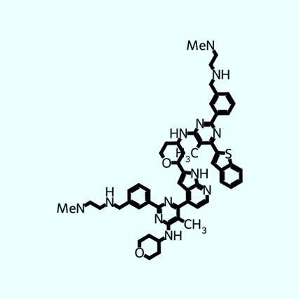 CNCCNCc1cccc(-c2nc(NC3CCOC(c4cc5c(-c6nc(-c7cccc(CNCCNC)c7)nc(NC7CCOCC7)c6C)ccnc5[nH]4)C3)c(C)c(-c3cc4ccccc4s3)n2)c1